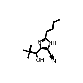 CCCCc1nc(C(O)C(C)(C)C)c(C#N)[nH]1